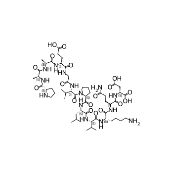 CC(C)C[C@H](NC(=O)[C@@H]1CCCN1C(=O)[C@@H](NC(=O)CNC(=O)[C@H](CCC(=O)O)NC(=O)[C@H](C)NC(=O)[C@H](C)NC(=O)[C@@H]1CCCN1)C(C)C)C(=O)N[C@H](C(=O)N[C@@H](CCCCN)C(=O)N[C@@H](CCC(N)=O)C(=O)N[C@@H](CC(=O)O)C(=O)O)C(C)C